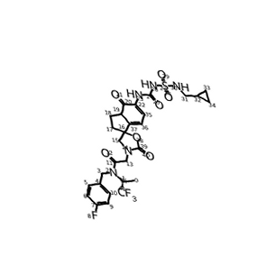 C[C@H](N(Cc1ccc(F)cc1)C(=O)CN1CC2(CCC3C(=O)C(NC(=O)NS(=O)(=O)NCC4CC4)=CC=C32)OC1=O)C(F)(F)F